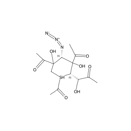 CC(=O)C(O)[C@@H]1[SH](C(C)=O)CC(O)(C(C)=O)[C@H](N=[N+]=[N-])C1(O)C(C)=O